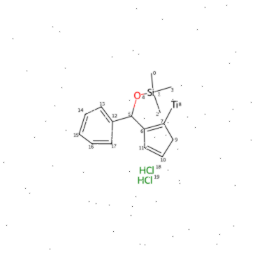 C[Si](C)(C)OC(C1=[C]([Ti])CC=C1)c1ccccc1.Cl.Cl